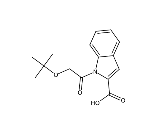 CC(C)(C)OCC(=O)n1c(C(=O)O)cc2ccccc21